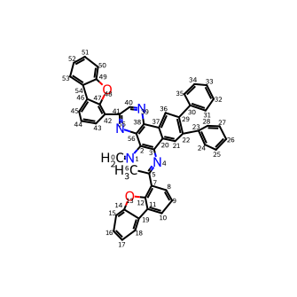 C=Nc1c(/N=C(\C)c2cccc3c2oc2ccccc23)c2cc(-c3ccccc3)c(-c3ccccc3)cc2c2ncc(-c3cccc4c3oc3ccccc34)nc12